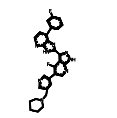 Fc1cccc(-c2ccnc3[nH]c(-c4n[nH]c5ncc(-c6cncc(CN7CCCCC7)c6)c(F)c45)nc23)c1